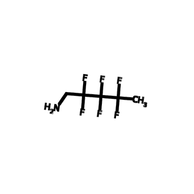 CC(F)(F)C(F)(F)C(F)(F)CN